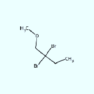 CCC(Br)(Br)COC